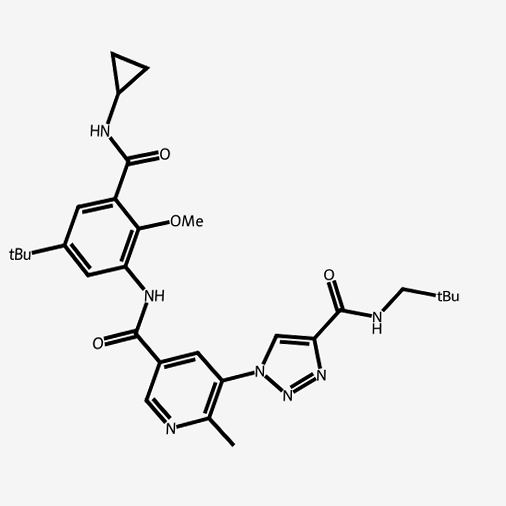 COc1c(NC(=O)c2cnc(C)c(-n3cc(C(=O)NCC(C)(C)C)nn3)c2)cc(C(C)(C)C)cc1C(=O)NC1CC1